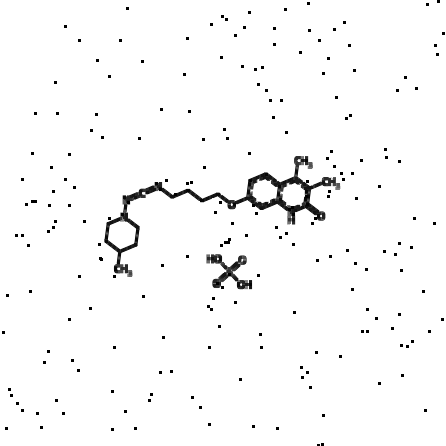 Cc1c(C)c2ccc(OCCCCN=C=NN3CCC(C)CC3)cc2[nH]c1=O.O=S(=O)(O)O